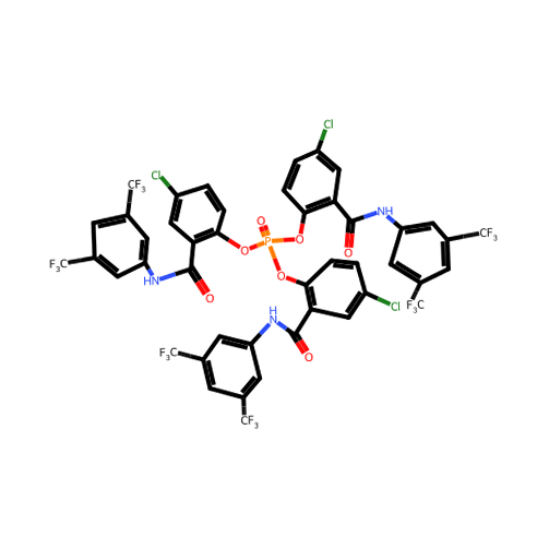 O=C(Nc1cc(C(F)(F)F)cc(C(F)(F)F)c1)c1cc(Cl)ccc1OP(=O)(Oc1ccc(Cl)cc1C(=O)Nc1cc(C(F)(F)F)cc(C(F)(F)F)c1)Oc1ccc(Cl)cc1C(=O)Nc1cc(C(F)(F)F)cc(C(F)(F)F)c1